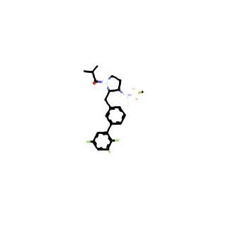 CC(C)C(=O)N1CCC(NS(C)(=O)=O)C1Cc1cccc(-c2cc(F)cc(F)c2F)c1